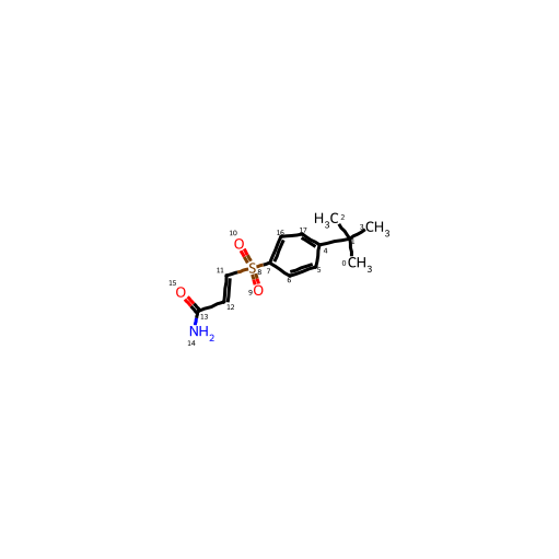 CC(C)(C)c1ccc(S(=O)(=O)C=CC(N)=O)cc1